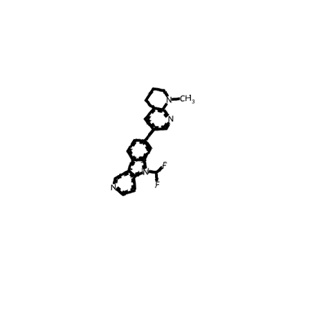 CN1CCCc2cc(-c3ccc4c5cnccc5n(C(F)F)c4c3)cnc21